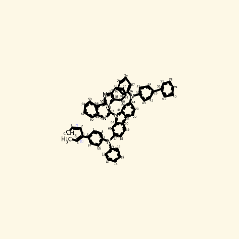 C/C=C\C(=C/C)c1ccc(N(c2ccccc2)c2ccc3c4ccc(N(C5=CC=CCC5)c5ccc(-c6ccccc6)cc5)cc4n(-c4nc5ccccc5c5nc6c(n45)CCC=C6)c3c2)cc1